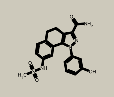 CS(=O)(=O)Nc1ccc2c(c1)-c1c(c(C(N)=O)nn1-c1cccc(O)c1)CC2